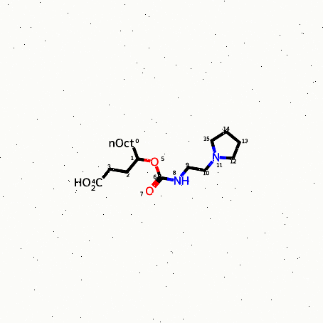 CCCCCCCCC(CCC(=O)O)OC(=O)NCCN1CCCC1